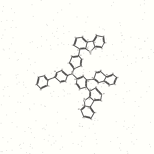 c1ccc(-c2ccc(N(c3ccc(-c4cccc5c4oc4ccccc45)cc3)c3ccc(-c4cccc5c4oc4ccccc45)c(-c4ccc5ccccc5c4)c3)cc2)cc1